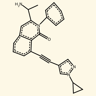 CC(N)c1cc2cccc(C#Cc3cnn(C4CC4)c3)c2c(=O)n1-c1ccccc1